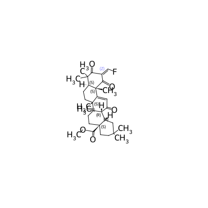 COC(=O)[C@]12CCC(C)(C)C[C@H]1[C@H]1C(=O)C=C3[C@@]4(C)C(=O)/C(=C\F)C(=O)C(C)(C)[C@@H]4CC[C@@]3(C)[C@]1(C)CC2